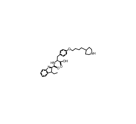 CCC1C(C(=O)NC(Cc2ccc(OCCCCC3CCNCC3)cc2)C(=O)O)=Nc2ccccc21